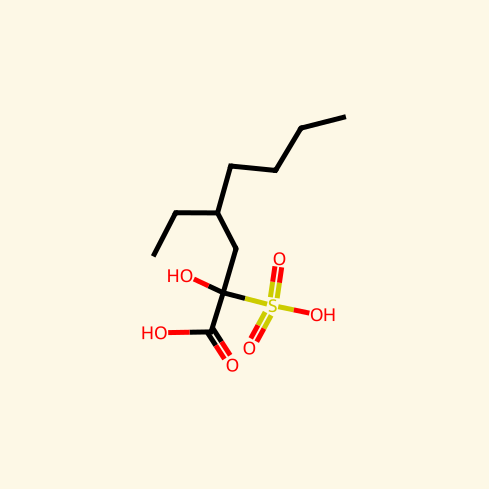 CCCCC(CC)CC(O)(C(=O)O)S(=O)(=O)O